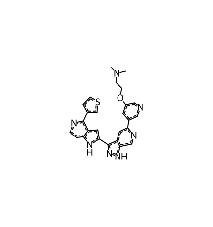 CN(C)CCOc1cncc(-c2cc3c(-c4cc5c(-c6ccsc6)nccc5[nH]4)n[nH]c3cn2)c1